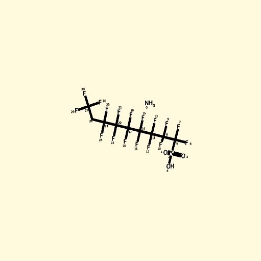 N.O=S(=O)(O)C(F)(F)C(F)(F)C(F)(F)C(F)(F)C(F)(F)C(F)(F)C(F)(F)CC(F)(F)F